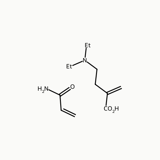 C=C(CCN(CC)CC)C(=O)O.C=CC(N)=O